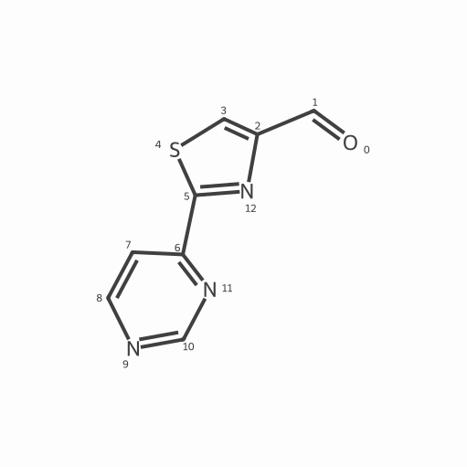 O=Cc1csc(-c2ccncn2)n1